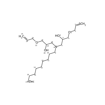 C=CCOCC(O)CN(CCCCCCCCCCCCCCCCCC)CC(O)COCC=C